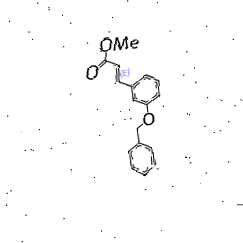 COC(=O)/C=C/c1cccc(OCc2ccccc2)c1